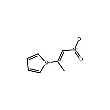 CC(=C[N+](=O)[O-])[SH]1C=CC=C1